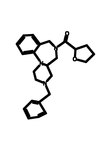 O=C(C1CCCO1)N1Cc2ccccc2N2CCN(Cc3ccccc3)CC2C1